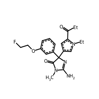 CCC(=O)c1cc(C2(c3cccc(OCCF)c3)N=C(N)N(C)C2=O)cn1CC